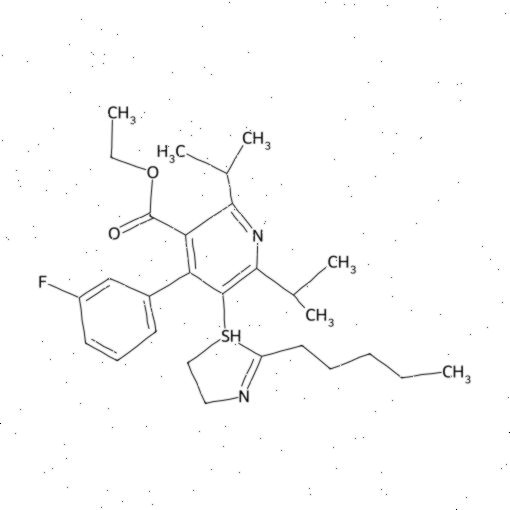 CCCCCC1=NCC[SH]1c1c(C(C)C)nc(C(C)C)c(C(=O)OCC)c1-c1cccc(F)c1